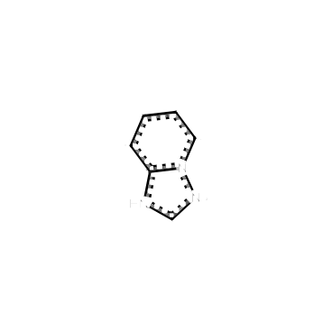 c1cc[n+]2nc[nH]c2c1